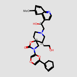 COc1ccc2nccc([C@H](O)CN3CC[C@]4(CN(C5=COC=C(C6=CC=CCC6)O5)C(=O)O4)[C@@H](CCO)C3)c2c1